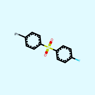 CC(C)c1c[c]c(S(=O)(=O)c2ccc(F)cc2)cc1